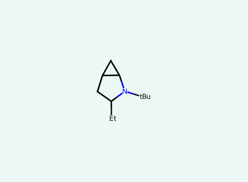 CCC1CC2CC2N1C(C)(C)C